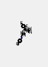 COc1ccc(/C=C/c2ncn(CC(O)(Cn3cncn3)c3ccc(F)cc3F)n2)cc1